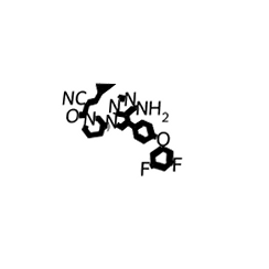 N#CC(=CC1CC1)C(=O)N1CCC[C@H](n2cc(-c3ccc(Oc4cc(F)cc(F)c4)cc3)c3c(N)ncnc32)C1